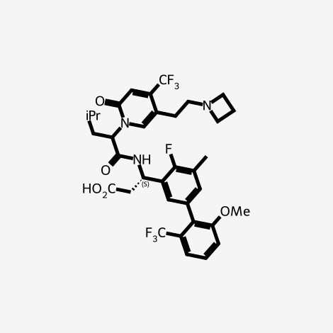 COc1cccc(C(F)(F)F)c1-c1cc(C)c(F)c([C@H](CC(=O)O)NC(=O)C(CC(C)C)n2cc(CCN3CCC3)c(C(F)(F)F)cc2=O)c1